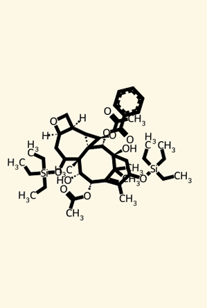 CC[Si](CC)(CC)OC1C[C@@]2(O)[C@@H](OC(=O)c3ccccc3)[C@]34C([C@H]3OC(C)=O)[C@@H]3CO[C@@H]3CC(O[Si](CC)(CC)CC)[C@@]4(C)[C@@H](O)[C@@H](OC(C)=O)C(=C1C)C2(C)C